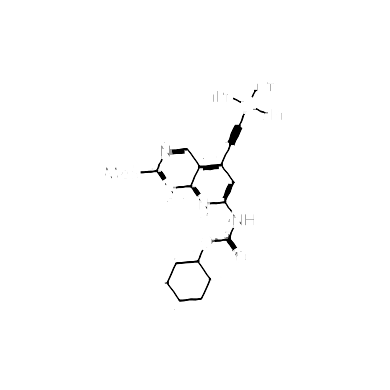 CSc1ncc2c(C#C[Si](C(C)C)(C(C)C)C(C)C)cc(NC(=O)OC3CCCCC3)nc2n1